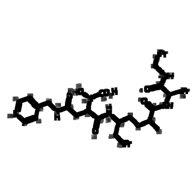 CC(C)CNC(=O)C(NC(=O)C(C)CCC(CC(C)C)NC(=O)C(CC(=O)NCc1ccncc1)N(O)C(=O)O)C(C)C